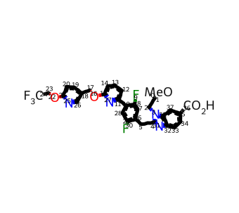 COCCn1c(Cc2cc(F)c(-c3cccc(OCc4ccc(OCC(F)(F)F)nc4)n3)cc2F)nc2ccc(C(=O)O)cc21